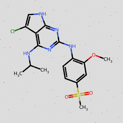 COc1cc(S(C)(=O)=O)ccc1Nc1nc(NC(C)C)c2c(Cl)c[nH]c2n1